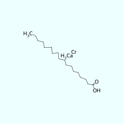 CCCCCCCCCCCCCCCCCC(=O)O.[CaH2].[Cr]